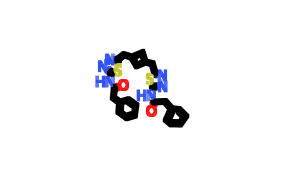 O=C(Cc1ccccc1)Nc1nnc(CC2CC(Cc3nnc(NC(=O)Cc4ccccc4)s3)C2)s1